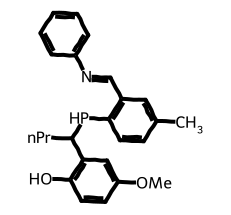 CCCC(Pc1ccc(C)cc1/C=N/c1ccccc1)c1cc(OC)ccc1O